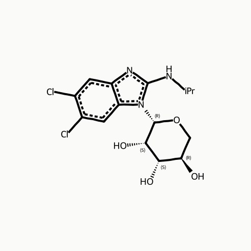 CC(C)Nc1nc2cc(Cl)c(Cl)cc2n1[C@@H]1OC[C@@H](O)[C@H](O)[C@@H]1O